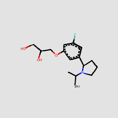 CCC(C)C(C)N1CCCC1c1cc(F)cc(OCC(O)CO)c1